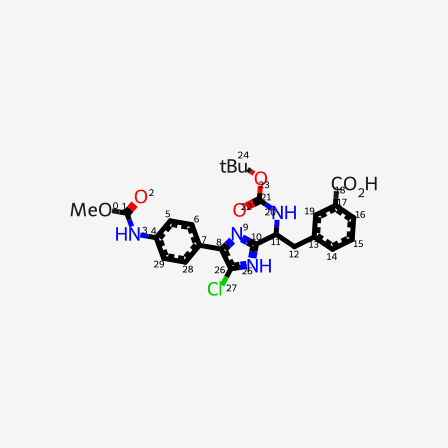 COC(=O)Nc1ccc(-c2nc(C(Cc3cccc(C(=O)O)c3)NC(=O)OC(C)(C)C)[nH]c2Cl)cc1